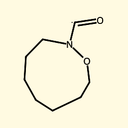 O=[C]N1CCCCCCCO1